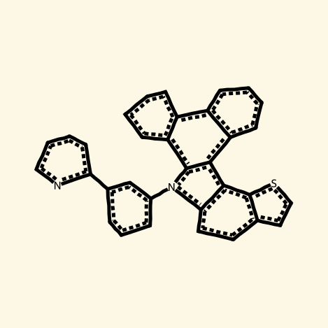 c1ccc(-c2cccc(-n3c4ccc5ccsc5c4c4c5ccccc5c5ccccc5c43)c2)nc1